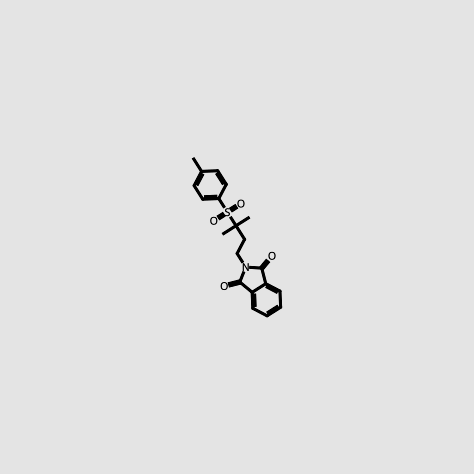 Cc1ccc(S(=O)(=O)C(C)(C)CCN2C(=O)c3ccccc3C2=O)cc1